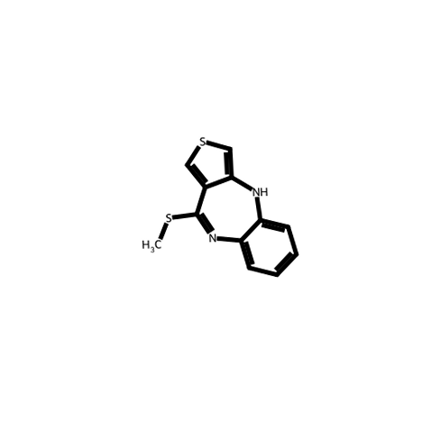 CSC1=Nc2ccccc2Nc2cscc21